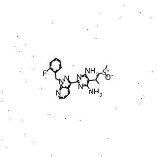 CC(C[S+](C)[O-])c1c(N)nc(-c2nn(Cc3ccccc3F)c3ncccc23)nc1N